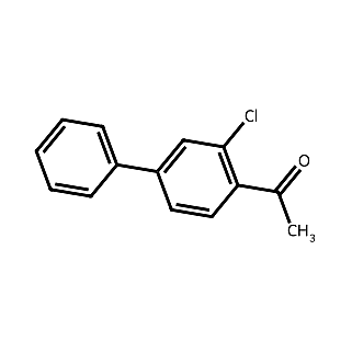 CC(=O)c1ccc(-c2ccccc2)cc1Cl